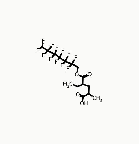 CCC(CC(C)C(=O)O)C(=O)OCC(F)(F)C(F)(F)C(F)(F)C(F)(F)C(F)(F)C(F)F